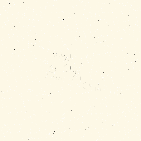 CONS(=O)(=O)c1cc(NC(=S)NCc2ccc(C(C)(C)C)cc2)ccc1C(I)c1ccc(O)c(OC)c1